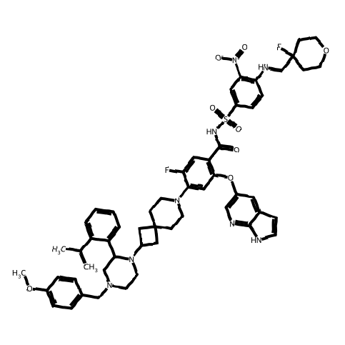 COc1ccc(CN2CCN(C3CC4(CCN(c5cc(Oc6cnc7[nH]ccc7c6)c(C(=O)NS(=O)(=O)c6ccc(NCC7(F)CCOCC7)c([N+](=O)[O-])c6)cc5F)CC4)C3)C(c3ccccc3C(C)C)C2)cc1